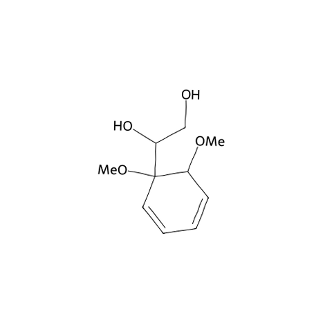 COC1C=CC=CC1(OC)C(O)CO